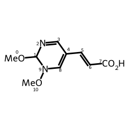 COC1N=CC(/C=C/C(=O)O)=CN1OC